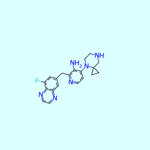 Nc1c(N2CCNCC23CC3)ccnc1Cc1cc(F)c2nccnc2c1